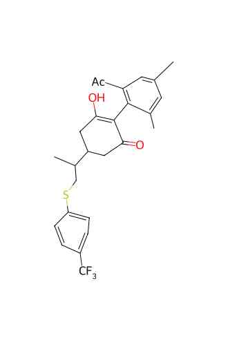 CC(=O)c1cc(C)cc(C)c1C1=C(O)CC(C(C)CSc2ccc(C(F)(F)F)cc2)CC1=O